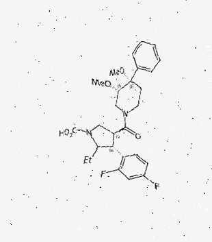 CCC1[C@@H](c2ccc(F)cc2F)[C@H](C(=O)N2CC[C@](OC)(c3ccccc3)[C@@H](OC)C2)CN1C(=O)O